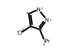 CC(C)C1=N[N]C=C1Cl